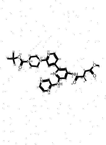 COC(=O)C[C@@H](C)C(=O)Nc1cc(Nc2cnccn2)nc(-c2ccnc(N3CCN(C(=O)OC(C)(C)C)CC3)c2)c1